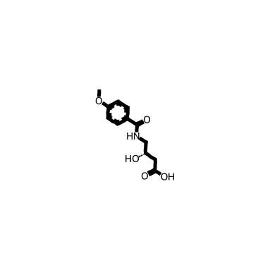 COc1ccc(C(=O)NC[C@@H](O)CC(=O)O)cc1